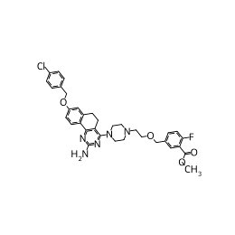 COC(=O)c1cc(COCCN2CCN(c3nc(N)nc4c3CCc3cc(OCc5ccc(Cl)cc5)ccc3-4)CC2)ccc1F